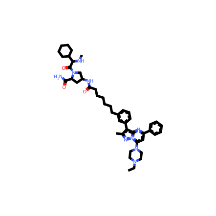 CCN1CCN(c2cc(-c3ccccc3)nc3c(-c4cccc(CCCCCCC(=O)NC5CC(C(N)=O)N(C(=O)C(NC)C6CCCCC6)C5)c4)c(C)nn23)CC1